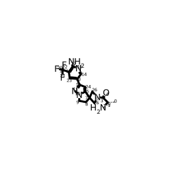 C[C@H](N)C(=O)N1CC2(CCn3nc(-c4cnc(N)c(C(F)(F)F)c4)cc32)C1